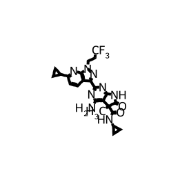 CC1(C(=O)NC2CC2)C(=O)Nc2nc(-c3nn(CCC(F)(F)F)c4nc(C5CC5)ccc34)nc(N)c21